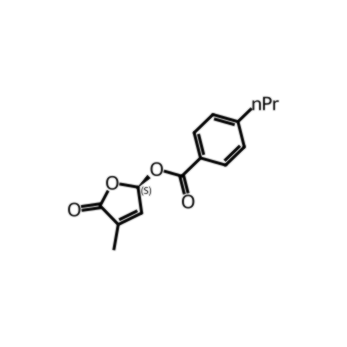 CCCc1ccc(C(=O)O[C@H]2C=C(C)C(=O)O2)cc1